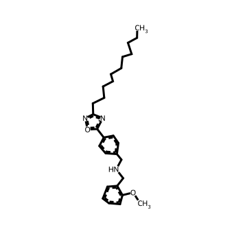 CCCCCCCCCCCc1noc(-c2ccc(CNCc3ccccc3OC)cc2)n1